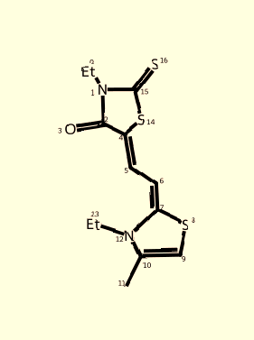 CCN1C(=O)C(=CC=C2SC=C(C)N2CC)SC1=S